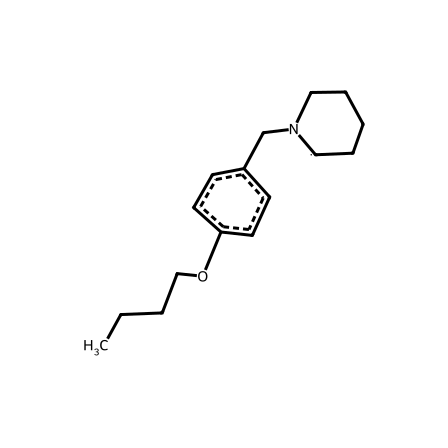 CCCCOc1ccc(CN2[CH]CCCC2)cc1